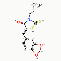 O=C(O)CCN1C(=O)C(=Cc2ccc3c(c2)OCO3)SC1=S